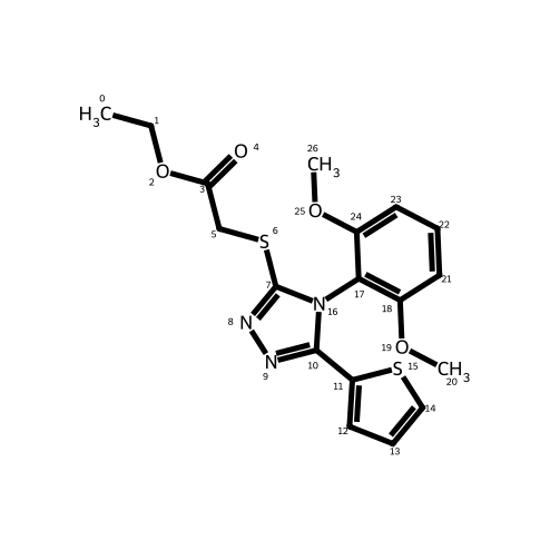 CCOC(=O)CSc1nnc(-c2cccs2)n1-c1c(OC)cccc1OC